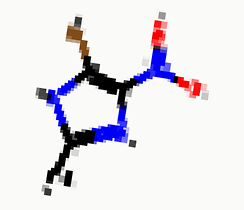 CC1=NC([N+](=O)[O-])=C(Br)[N]1